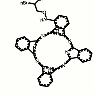 CCCCC(CC)C[O][AlH][c]1cccc2c3nc4nc(nc5[nH]c(nc6nc(nc([nH]3)c12)-c1ccccc1-6)c1ccccc51)-c1ccccc1-4